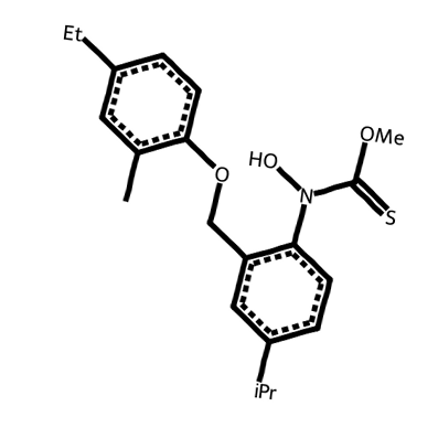 CCc1ccc(OCc2cc(C(C)C)ccc2N(O)C(=S)OC)c(C)c1